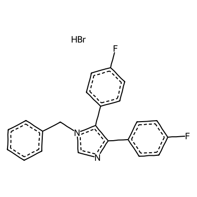 Br.Fc1ccc(-c2ncn(Cc3ccccc3)c2-c2ccc(F)cc2)cc1